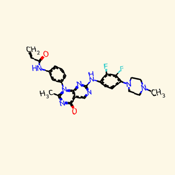 C=CC(=O)Nc1cccc(-n2c(C)nc(=O)c3cnc(Nc4ccc(N5CCN(C)CC5)c(F)c4F)nc32)c1